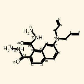 C=CCN(CC=C)c1ccc2ccc(C(=O)NN)c(C(=O)NN)c2c1